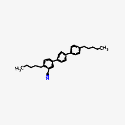 CCCCCc1ccc(-c2ccc(-c3ccc(CCCCC)c(C#N)c3)cc2)cc1